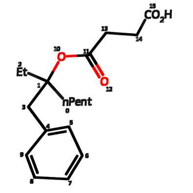 CCCCCC(CC)(Cc1ccccc1)OC(=O)CCC(=O)O